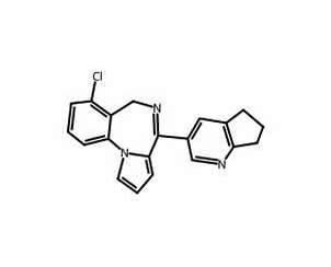 Clc1cccc2c1CN=C(c1cnc3c(c1)CCC3)c1cccn1-2